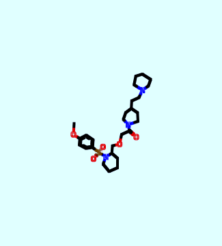 COc1ccc(S(=O)(=O)N2CCCCC2COCC(=O)N2CCC(CCN3CCCCC3)CC2)cc1